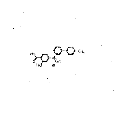 Cc1ccc(-c2cccc(N(c3ccc(C(=O)O)c(O)c3)[SH](=O)=O)c2)cc1